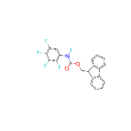 O=C(OCC1c2ccccc2-c2ccccc21)N(F)c1cc(F)c(F)c(F)c1F